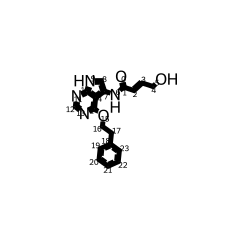 O=C(C=CCO)Nc1c[nH]c2ncnc(OCCc3ccccc3)c12